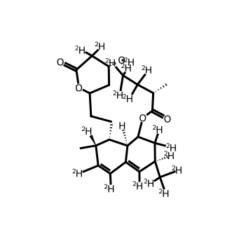 [2H]O[C@@H]1CC(CC[C@@H]2[C@@H]3C(=C([2H])[C@]([2H])(C([2H])([2H])[2H])C([2H])([2H])C3OC(=O)[C@@H](C)C([2H])([2H])C([2H])([2H])[2H])C([2H])=C([2H])[C@]2([2H])C)OC(=O)C1([2H])[2H]